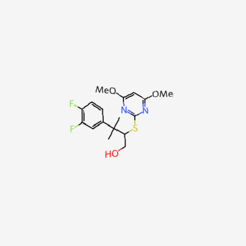 COc1cc(OC)nc(SC(CO)C(C)(C)c2ccc(F)c(F)c2)n1